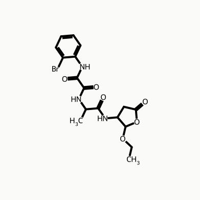 CCOC1OC(=O)CC1NC(=O)C(C)NC(=O)C(=O)Nc1ccccc1Br